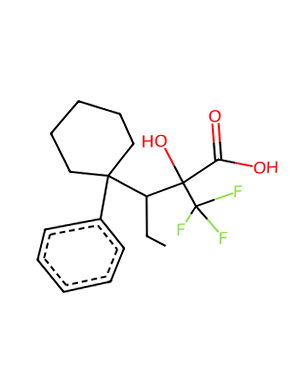 CCC(C1(c2ccccc2)CCCCC1)C(O)(C(=O)O)C(F)(F)F